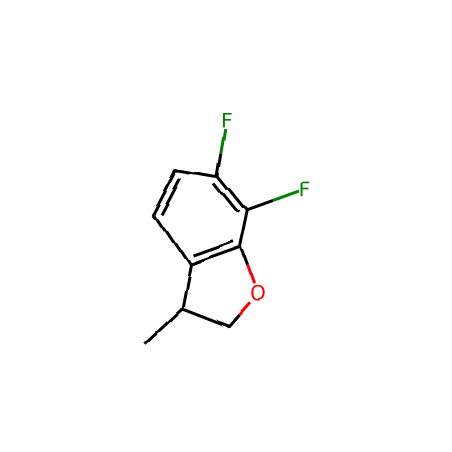 CC1COc2c1ccc(F)c2F